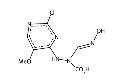 COc1cnc(Cl)nc1NN(/C=N/O)C(=O)O